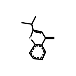 C=C1C=C(C(C)C)Oc2ccccc21